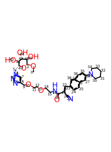 CO[C@H]1O[C@H](Cn2cc(COCCOCCNC(=O)/C(C#N)=C/c3ccc4cc(N5CCCCC5)ccc4c3)nn2)[C@@H](O)[C@H](O)[C@H]1O